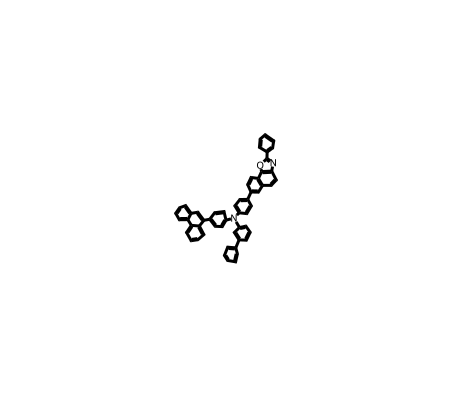 c1ccc(-c2cccc(N(c3ccc(-c4ccc5c(ccc6nc(-c7ccccc7)oc65)c4)cc3)c3ccc(-c4cc5ccccc5c5ccccc45)cc3)c2)cc1